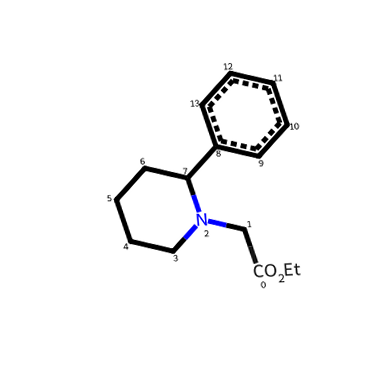 CCOC(=O)CN1CCCCC1c1ccccc1